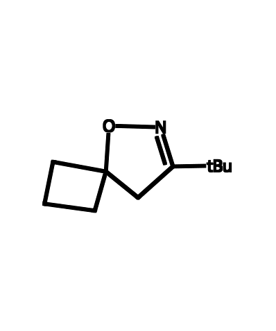 CC(C)(C)C1=NOC2(CCC2)C1